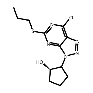 CCCSc1nc(Cl)c2nnn(C3CCC[C@H]3O)c2n1